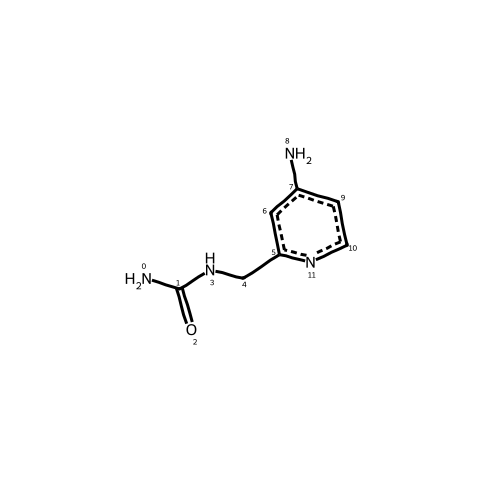 NC(=O)NCc1cc(N)ccn1